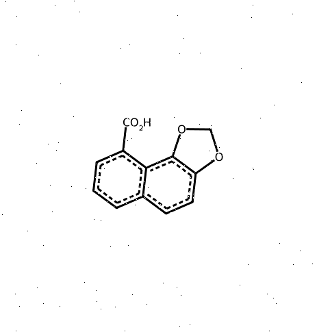 O=C(O)c1cccc2ccc3c(c12)OCO3